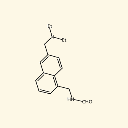 CCN(CC)Cc1ccc2c(CNC=O)cccc2c1